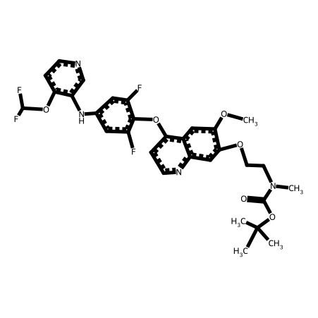 COc1cc2c(Oc3c(F)cc(Nc4cnccc4OC(F)F)cc3F)ccnc2cc1OCCN(C)C(=O)OC(C)(C)C